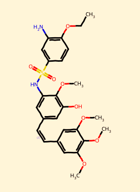 CCOc1ccc(S(=O)(=O)Nc2cc(/C=C\c3cc(OC)c(OC)c(OC)c3)cc(O)c2OC)cc1N